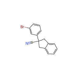 N#CC1(c2cccc(Br)c2)Cc2ccccc2C1